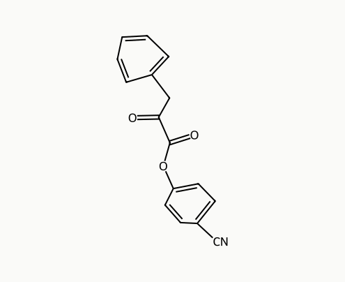 N#Cc1ccc(OC(=O)C(=O)Cc2ccccc2)cc1